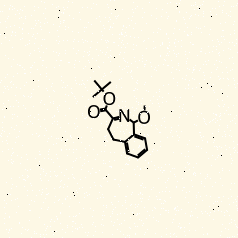 COC1N=C(C(=O)OC(C)(C)C)CCc2ccccc21